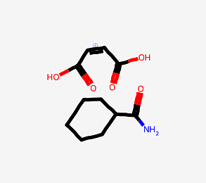 NC(=O)C1CCCCC1.O=C(O)/C=C\C(=O)O